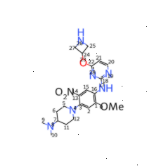 COc1cc(N2CCC(N(C)C)CC2)c([N+](=O)[O-])cc1Nc1nccc(OC2CNC2)n1